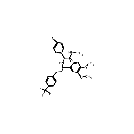 CNC(=O)[C@@H](N[C@@H](CCc1ccc(C(F)(F)F)cc1)c1ccc(OC)c(OC)c1)c1ccc(F)cc1